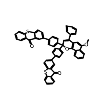 COc1cc2c(c3ccccc13)OC(c1ccc(-c3ccc4sc5ccccc5c(=O)c4c3)cc1)(c1ccc(-c3ccc4sc5ccccc5c(=O)c4c3)cc1)C=C2c1ccccc1